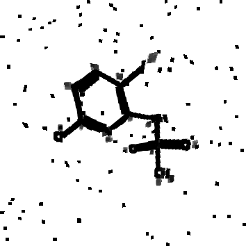 CS(=O)(=O)Nc1nc(Cl)ccc1I